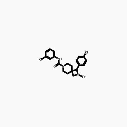 CC(C)N1CC2(CCN(C(=O)Nc3cccc(Cl)c3)CC2)C1c1ccc(Cl)cc1